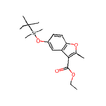 CCOC(=O)c1c(C)oc2ccc(O[Si](C)(C)C(C)(C)C)cc12